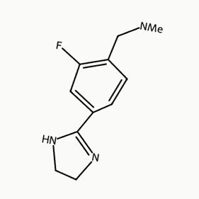 CNCc1ccc(C2=NCCN2)cc1F